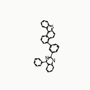 c1ccc(-c2nc(-c3cccc(-c4cccc5c4ccc4sc6ccccc6c45)c3)nc3ccccc23)cc1